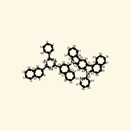 c1ccc(-c2nc(-c3ccc4ccccc4c3)nc(-c3cc(-n4c5ccccc5c5cc6c7c8ccccc8ccc7n(-c7ccccn7)c6cc54)c4ccccc4c3)n2)cc1